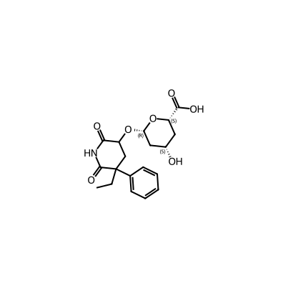 CCC1(c2ccccc2)CC(O[C@H]2C[C@@H](O)C[C@@H](C(=O)O)O2)C(=O)NC1=O